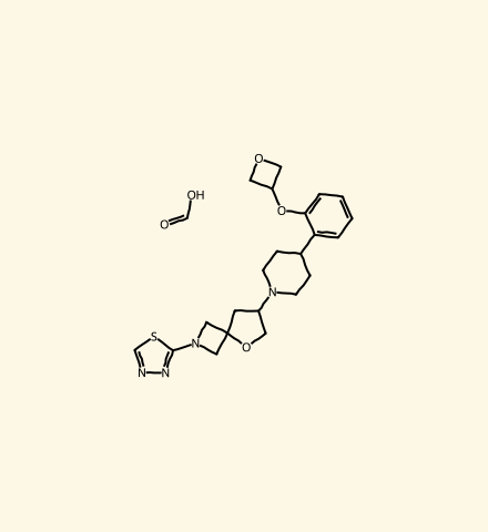 O=CO.c1ccc(C2CCN(C3COC4(C3)CN(c3nncs3)C4)CC2)c(OC2COC2)c1